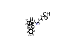 O=C(O)CCC/C=C\C[C@H]1[C@H](Oc2ccccc2)[C@H]2CC[C@@H]1O2